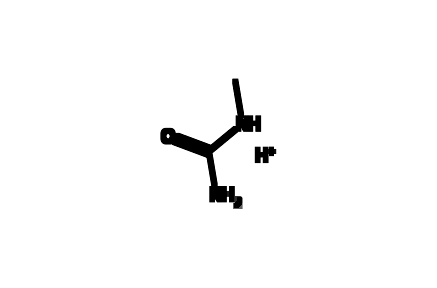 CNC(N)=O.[H+]